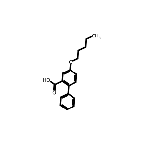 CCCCCOc1ccc(-c2ccccc2)c(C(=O)O)c1